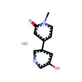 Cl.Cn1ccc(-c2cncc(O)c2)cc1=O